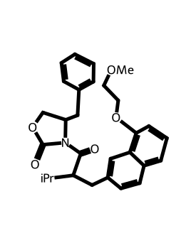 COCCOc1cccc2ccc(CC(C(=O)N3C(=O)OCC3Cc3ccccc3)C(C)C)cc12